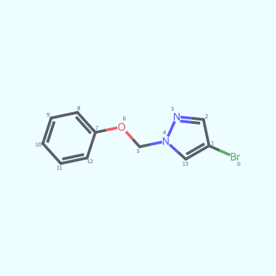 Brc1cnn(COc2ccccc2)c1